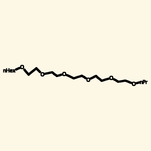 CCCCCCOCCOCCOCCOCCOCCOCCC